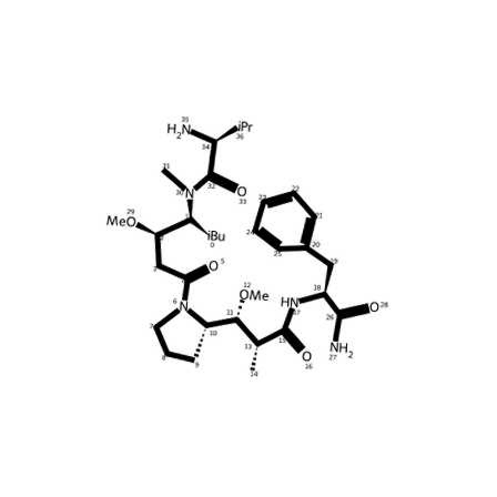 CC[C@H](C)[C@@H]([C@@H](CC(=O)N1CCC[C@H]1[C@H](OC)[C@@H](C)C(=O)N[C@@H](Cc1ccccc1)C(N)=O)OC)N(C)C(=O)[C@@H](N)C(C)C